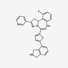 O=C(c1ccc(-c2cccc3c2CNC3)s1)N1N=C(c2cccnc2)CC1c1c(O)cccc1F